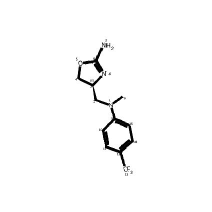 CN(C[C@H]1COC(N)=N1)c1ccc(C(F)(F)F)cc1